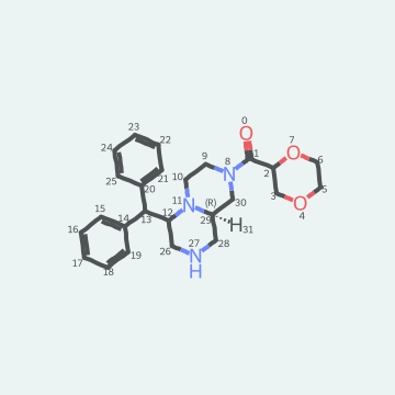 O=C(C1COCCO1)N1CCN2C(C(c3ccccc3)c3ccccc3)CNC[C@@H]2C1